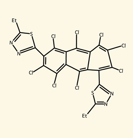 CCc1nnc(-c2c(Cl)c(Cl)c3c(Cl)c4c(-c5nnc(CC)s5)c(Cl)c(Cl)c(Cl)c4c(Cl)c3c2Cl)s1